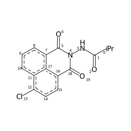 CC(C)C(=O)NN1C(=O)c2cccc3c(Cl)ccc(c23)C1=O